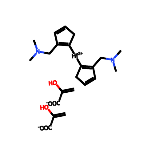 C=C(O)C(=O)[O-].C=C(O)C(=O)[O-].CN(C)CC1=[C]([Hf+2][C]2=C(CN(C)C)C=CC2)CC=C1